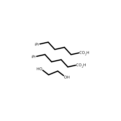 CC(C)CCCCC(=O)O.CC(C)CCCCC(=O)O.OCCO